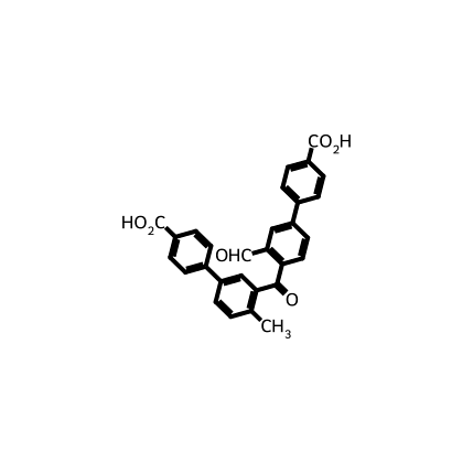 Cc1ccc(-c2ccc(C(=O)O)cc2)cc1C(=O)c1ccc(-c2ccc(C(=O)O)cc2)cc1C=O